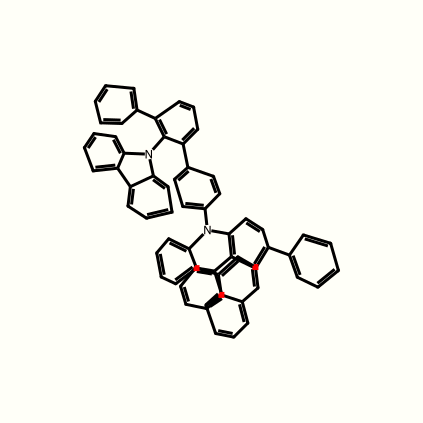 c1ccc(-c2ccc(N(c3ccc(-c4cccc(-c5ccccc5)c4-n4c5ccccc5c5ccccc54)cc3)c3ccccc3-c3cccc4ccccc34)c(-c3ccccc3)c2)cc1